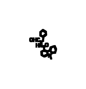 Cn1c2ccccc2c2c(C(=O)NC(C=O)Cc3ccccc3)cccc21